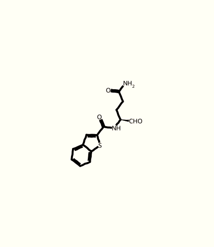 NC(=O)CC[C@@H](C=O)NC(=O)c1cc2ccccc2s1